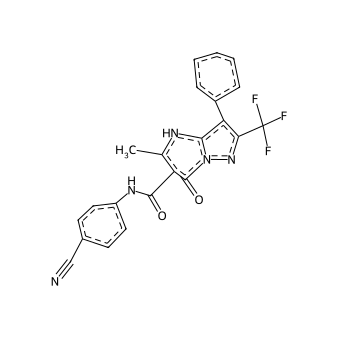 Cc1[nH]c2c(-c3ccccc3)c(C(F)(F)F)nn2c(=O)c1C(=O)Nc1ccc(C#N)cc1